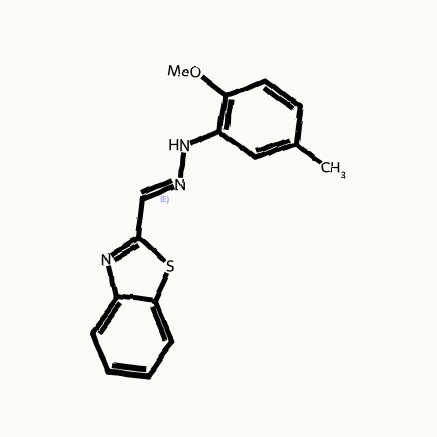 COc1ccc(C)cc1N/N=C/c1nc2ccccc2s1